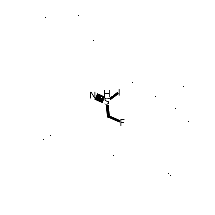 N#[SH](I)CF